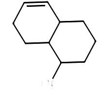 NC1CCCC2C=CCCC12